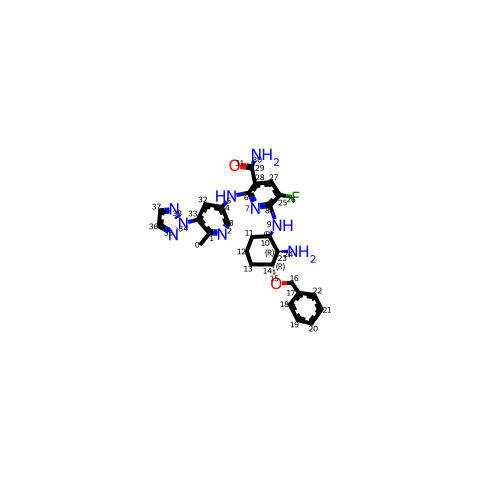 Cc1ncc(Nc2nc(N[C@@H]3CCC[C@@H](OCc4ccccc4)[C@@H]3N)c(F)cc2C(N)=O)cc1-n1nccn1